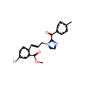 COC(=O)c1cc(Cl)ccc1/C=C/Cn1ccnc1C(=O)c1ccc(C)cc1